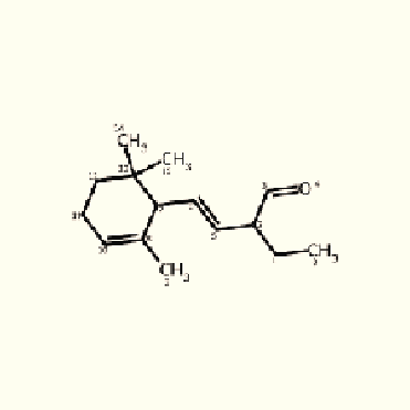 CCC(C=O)/C=C/C1C(C)=CCCC1(C)C